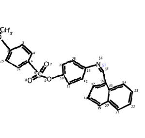 COc1ccc(S(=O)(=O)Oc2ccc(/N=C\c3cccc4ccccc34)cc2)cc1